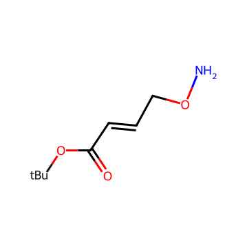 CC(C)(C)OC(=O)C=CCON